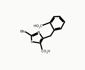 CC(C)(C)c1nc(Cc2ccccc2C(=O)O)c(C(=O)O)s1